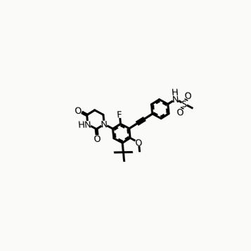 COc1c(C(C)(C)C)cc(N2CCC(=O)NC2=O)c(F)c1C#Cc1ccc(NS(C)(=O)=O)cc1